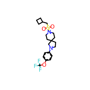 O=S(=O)(CC1CCC1)N1CCC2(CCN(c3ccc(OC(F)(F)F)cc3)C2)CC1